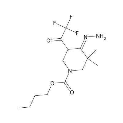 CCCCOC(=O)N1CC(C(=O)C(F)(F)F)C(=NN)C(C)(C)C1